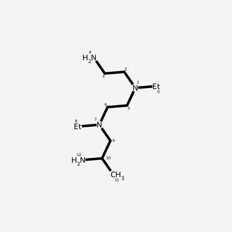 CCN(CCN)CCN(CC)CC(C)N